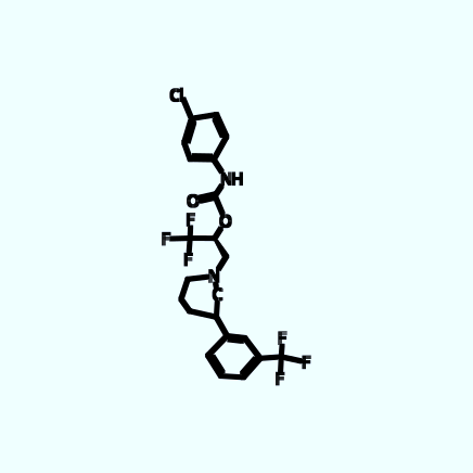 O=C(Nc1ccc(Cl)cc1)O[C@@H](CN1CCCC(c2cccc(C(F)(F)F)c2)C1)C(F)(F)F